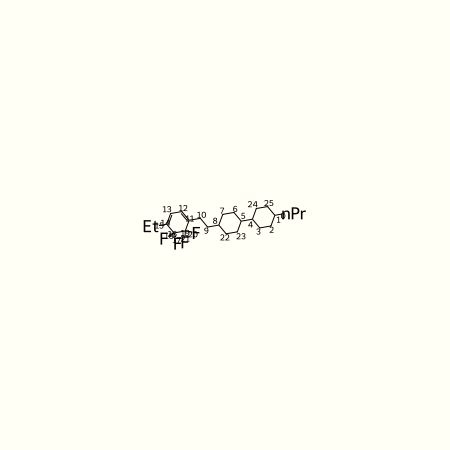 CCCC1CCC(C2CCC(CCC3=CC=C(CC)C(F)(F)C3(F)F)CC2)CC1